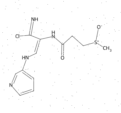 C[S+]([O-])CCC(=O)N/C(=C/Nc1cccnc1)C(=N)Cl